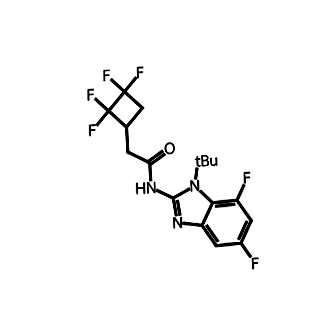 CC(C)(C)n1c(NC(=O)CC2CC(F)(F)C2(F)F)nc2cc(F)cc(F)c21